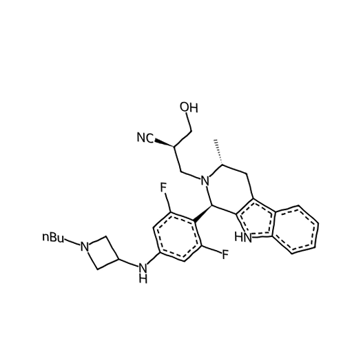 CCCCN1CC(Nc2cc(F)c([C@@H]3c4[nH]c5ccccc5c4C[C@@H](C)N3C[C@@H](C#N)CO)c(F)c2)C1